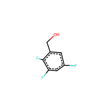 OCc1cc(F)cc(F)c1F